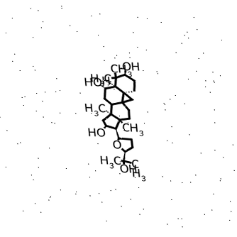 CC(C)(O)[C@@H]1CCC([C@H]2[C@@H](O)C[C@@]3(C)C4C[C@H](O)[C@H]5C(C)(C)[C@@H](O)CC[C@@]56CC46CC[C@]23C)O1